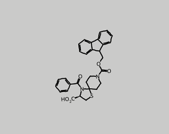 O=C(O)[C@@H]1CSC2(CCN(C(=O)OCC3c4ccccc4-c4ccccc43)CC2)N1C(=O)c1ccccc1